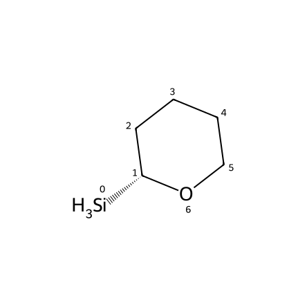 [SiH3][C@@H]1CCCCO1